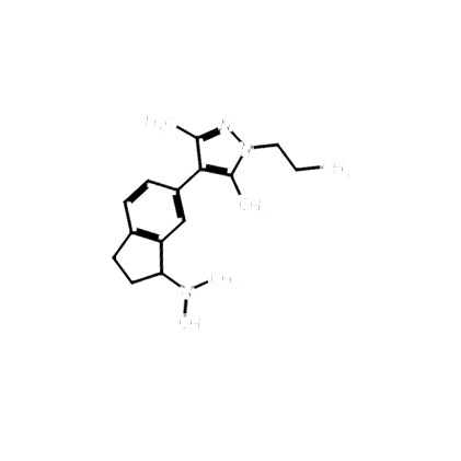 CCCn1nc(C)c(-c2ccc3c(c2)C(N(C)C)CC3)c1C